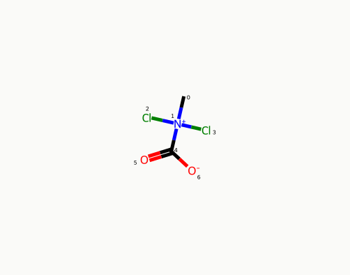 C[N+](Cl)(Cl)C(=O)[O-]